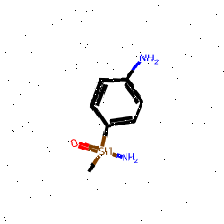 C[SH](N)(=O)c1ccc(N)cc1